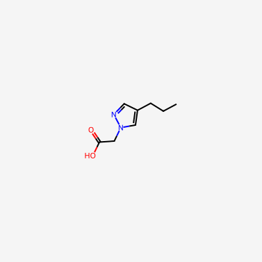 CCCc1cnn(CC(=O)O)c1